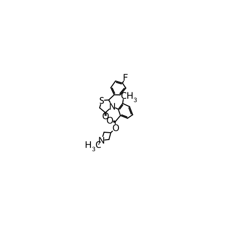 Cc1cccc(C(=O)OC2CN(C)C2)c1N1C(=O)CSC1c1ccc(F)cc1